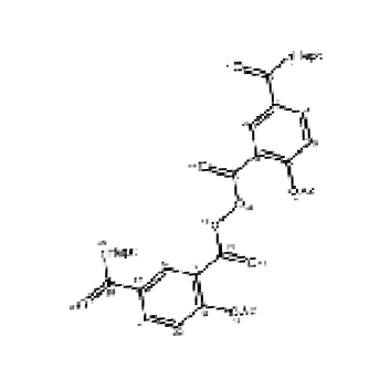 CCCCCCCC(=O)c1ccc(OC(C)=O)c(C(=O)OOC(=O)c2cc(C(=O)CCCCCCC)ccc2OC(C)=O)c1